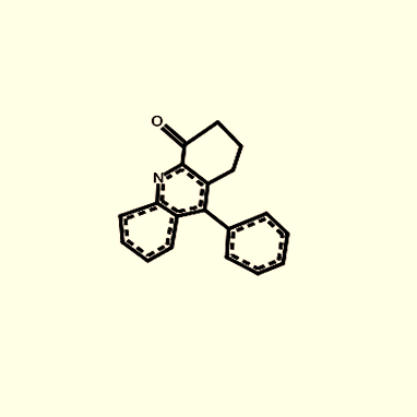 O=C1CCCc2c1nc1ccccc1c2-c1ccccc1